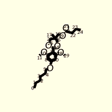 CCCCCCOc1cc(OC)c(C2OCC(C)(COC(=O)CCC)CO2)c(OC)c1